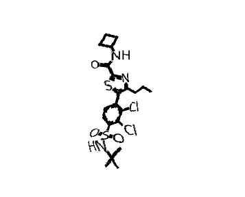 CCCc1nc(C(=O)NC2CCC2)sc1-c1ccc(S(=O)(=O)NC(C)(C)C)c(Cl)c1Cl